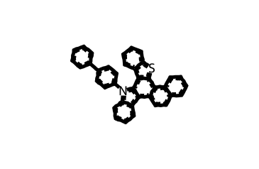 c1ccc(-c2ccc(-n3c4ccccc4c4c5ccc6ccccc6c5c5sc6ccccc6c5c43)cc2)cc1